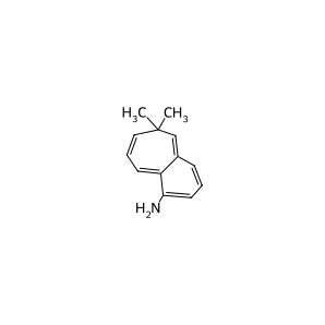 CC1(C)C=CC=c2c(N)cccc2=C1